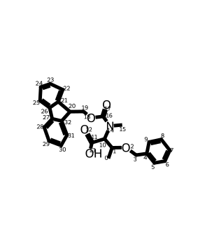 CC(OCc1ccccc1)C(C(=O)O)N(C)C(=O)OCC1c2ccccc2-c2ccccc21